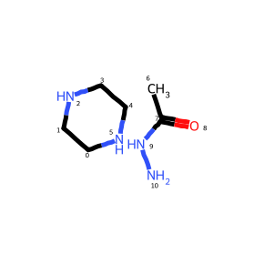 C1CNCCN1.CC(=O)NN